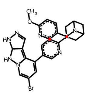 COc1ccc(CN2C3CC2CN(c2ccc(C4=CC(Br)=CN5NC6NN=CC6=C45)cn2)C3)cn1